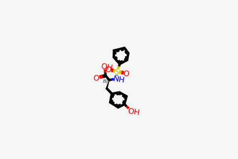 O=C(O)[C@H](Cc1ccc(O)cc1)NS(=O)(=O)c1ccccc1